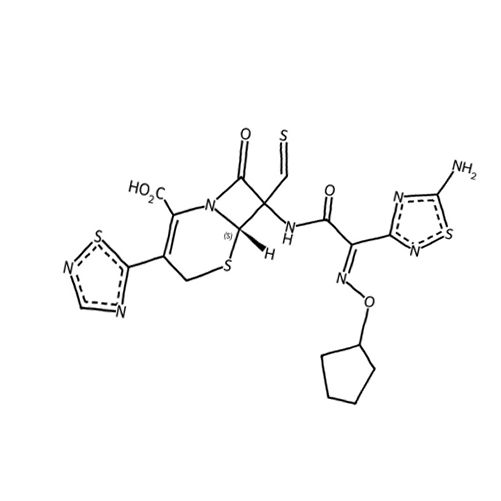 Nc1nc(C(=NOC2CCCC2)C(=O)NC2(C=S)C(=O)N3C(C(=O)O)=C(c4ncns4)CS[C@H]32)ns1